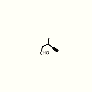 C#CC(C)CC=O